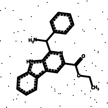 CCOC(=O)c1cc2c([nH]c3ccccc32)c(C(N)c2ccccc2)n1